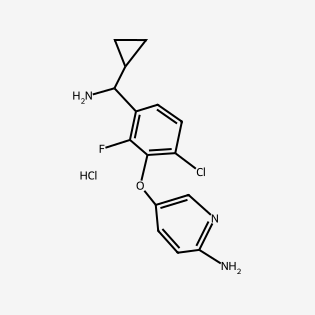 Cl.Nc1ccc(Oc2c(Cl)ccc(C(N)C3CC3)c2F)cn1